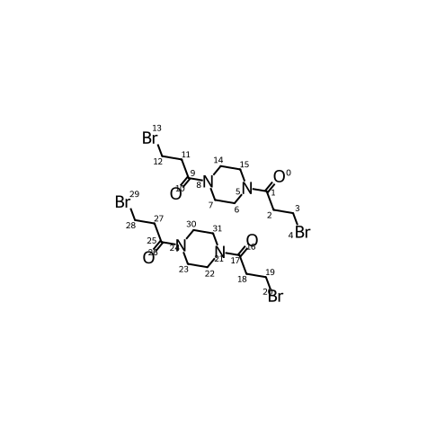 O=C(CCBr)N1CCN(C(=O)CCBr)CC1.O=C(CCBr)N1CCN(C(=O)CCBr)CC1